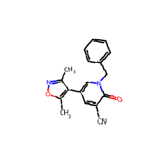 Cc1noc(C)c1-c1cc(C#N)c(=O)n(Cc2ccccc2)c1